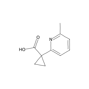 Cc1cccc(C2(C(=O)O)CC2)n1